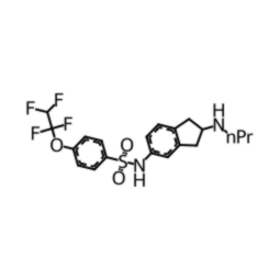 CCCNC1Cc2ccc(NS(=O)(=O)c3ccc(OC(F)(F)C(F)F)cc3)cc2C1